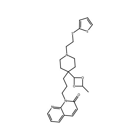 CC1OC(C2(CCCn3c(=O)ccc4cccnc43)CCN(CCSc3cccs3)CC2)O1